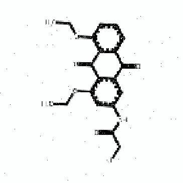 CCOc1cccc2c1C(=O)c1c(OCC)cc(NC(=O)CCl)cc1C2=O